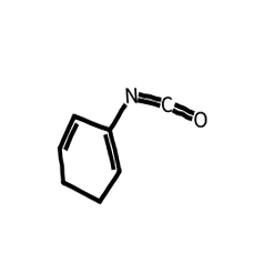 O=C=NC1=CCCC=C1